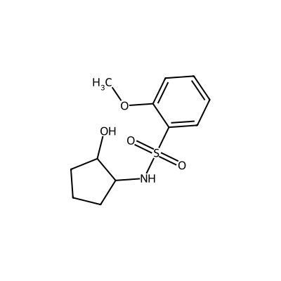 COc1ccccc1S(=O)(=O)NC1CCCC1O